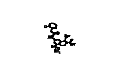 NS(=O)(=O)c1cc(NC(=O)Cc2ccccc2Cl)cc2c1CCN(C(=O)O)C2C1CC1